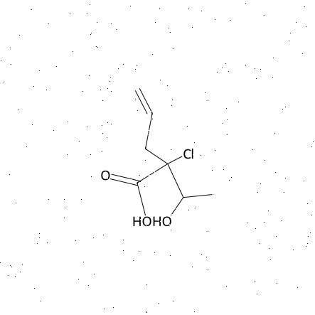 C=CCC(Cl)(C(=O)O)C(C)O